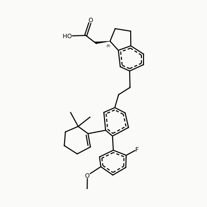 COc1ccc(F)c(-c2ccc(CCc3ccc4c(c3)[C@@H](CC(=O)O)CC4)cc2C2=CCCCC2(C)C)c1